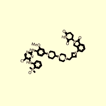 COc1cc(N2CCC(N3CCN(CC4CN(c5cccc6c5CN(C5CCC(=O)NC5=O)C6=O)C4)CC3)CC2)ccc1Nc1ncc(Cl)c(Nc2ccccc2P(C)(C)=O)n1